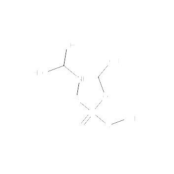 [CH2]SP(=O)(OCC)ONC(C)C